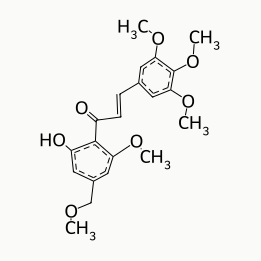 COCc1cc(O)c(C(=O)C=Cc2cc(OC)c(OC)c(OC)c2)c(OC)c1